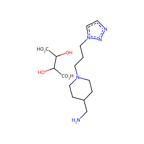 NCC1CCN(CCCn2ccnn2)CC1.O=C(O)C(O)C(O)C(=O)O